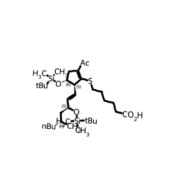 CCCC[C@@H](C)C[C@@H](C=C[C@@H]1C(SCCCCCC(=O)O)=C(C(C)=O)C[C@H]1O[Si](C)(C)C(C)(C)C)O[Si](C)(C)C(C)(C)C